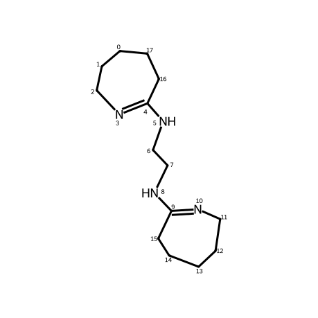 C1CCN=C(NCCNC2=NCCCCC2)CC1